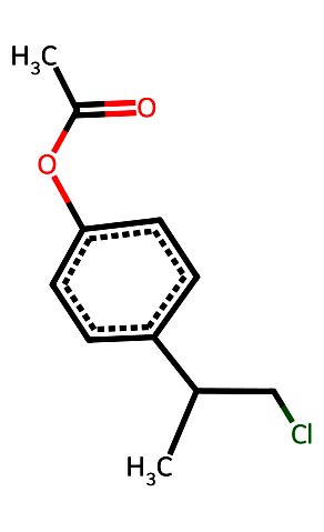 CC(=O)Oc1ccc(C(C)CCl)cc1